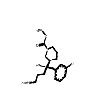 CC(=O)NCCC[C@@](O)(c1cccc(Cl)c1)[C@@H]1CCCN(C(=O)OC(C)(C)C)C1